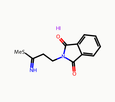 CSC(=N)CCN1C(=O)c2ccccc2C1=O.I